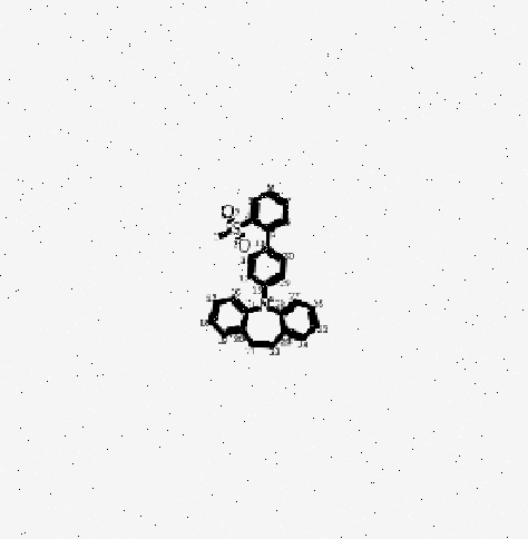 CS(=O)(=O)c1ccccc1-c1ccc(N2c3ccccc3C=Cc3ccccc32)cc1